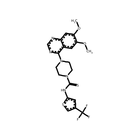 COc1cc2ncnc(N3CCN(C(=S)Nc4cc(C(F)(F)F)cs4)CC3)c2cc1OC